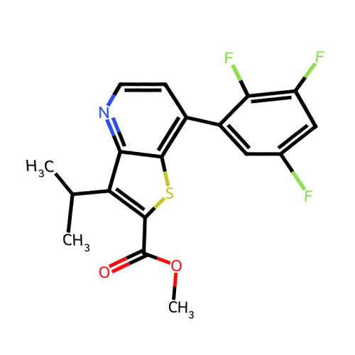 COC(=O)c1sc2c(-c3cc(F)cc(F)c3F)ccnc2c1C(C)C